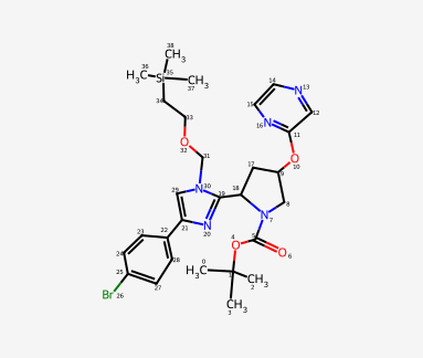 CC(C)(C)OC(=O)N1CC(Oc2cnccn2)CC1c1nc(-c2ccc(Br)cc2)cn1COCC[Si](C)(C)C